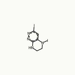 Ic1cc2c(nn1)NCCN2I